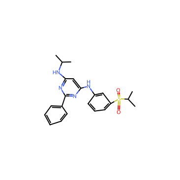 CC(C)Nc1cc(Nc2cccc(S(=O)(=O)C(C)C)c2)nc(-c2ccccc2)n1